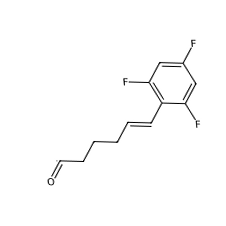 O=[C]CCCC=Cc1c(F)cc(F)cc1F